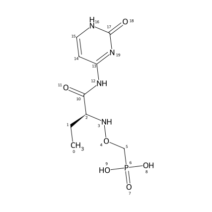 CC[C@H](NOCP(=O)(O)O)C(=O)Nc1cc[nH]c(=O)n1